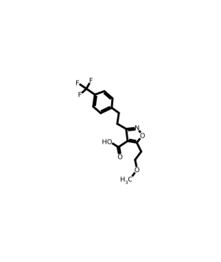 COCCc1onc(CCc2ccc(C(F)(F)F)cc2)c1C(=O)O